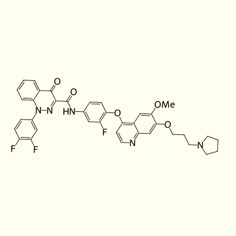 COc1cc2c(Oc3ccc(NC(=O)c4nn(-c5ccc(F)c(F)c5)c5ccccc5c4=O)cc3F)ccnc2cc1OCCCN1CCCC1